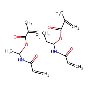 C=CC(=O)NC(C)OC(=O)C(=C)C.C=CC(=O)NC(CC)OC(=O)C(=C)C